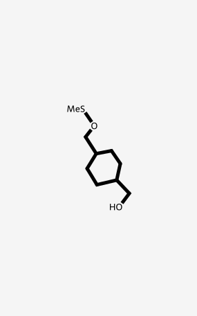 CSOCC1CCC(CO)CC1